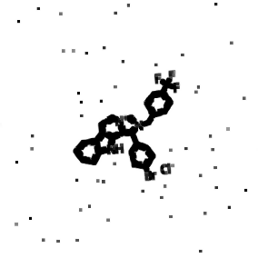 FC(F)(F)c1ccc(Cn2c[n+]3ccc4c5ccccc5[nH]c4c3c2-c2ccc(Br)cc2)cc1.[Cl-]